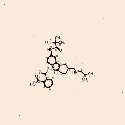 CC(C)CNCC1CCc2[nH]c3ccc(NC(=O)C(C)(C)C)cc3c2C1.O=C(O)c1ccccc1C(=O)O